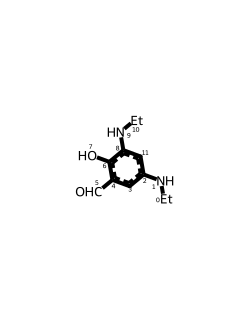 CCNc1cc(C=O)c(O)c(NCC)c1